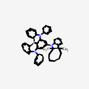 CC12CCCCCC1(C)N(c1cc3c4c(c1)N(c1ccccc1)c1ccccc1B4c1ccccc1N3c1ccccc1)c1ccccc12